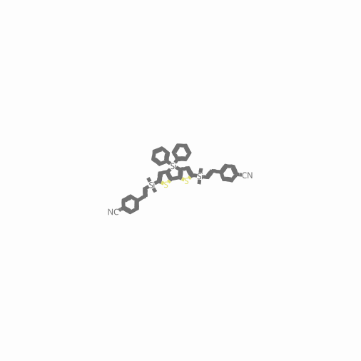 C[Si](C)(/C=C/c1ccc(C#N)cc1)c1cc2c(s1)-c1sc([Si](C)(C)/C=C/c3ccc(C#N)cc3)cc1[Si]2(c1ccccc1)c1ccccc1